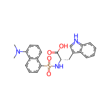 CN(C)c1cccc2c(S(=O)(=O)N[C@@H](Cc3c[nH]c4ccccc34)C(=O)O)cccc12